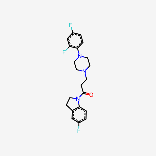 O=C(CCN1CCN(c2ccc(F)cc2F)CC1)N1CCc2cc(F)ccc21